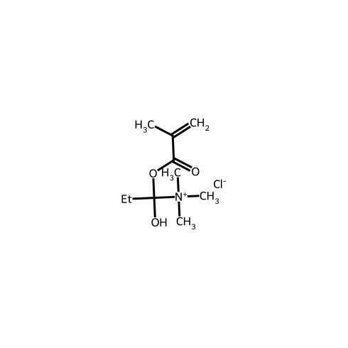 C=C(C)C(=O)OC(O)(CC)[N+](C)(C)C.[Cl-]